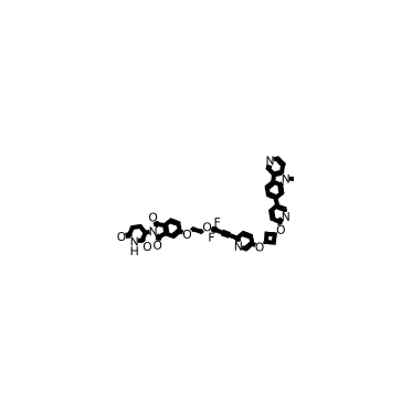 Cn1c2ccncc2c2ccc(-c3ccc(O[C@H]4C[C@H](Oc5ccc(C#CC(F)(F)OCCOc6ccc7c(c6)C(=O)N(C6CCC(=O)NC6=O)C7=O)nc5)C4)nc3)cc21